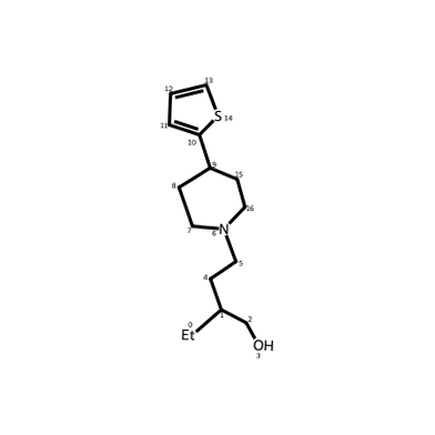 CCC(CO)CCN1CCC(c2cccs2)CC1